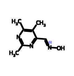 Cc1nc(C)c(C)c(/C=N/O)n1